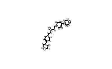 O=C(CCN1CC=C(N2CCOCC2)CC1)CCN1CC=C(N2CCOCC2)CC1